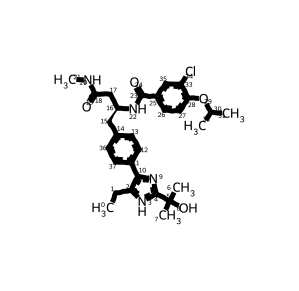 CCc1[nH]c(C(C)(C)O)nc1-c1ccc(C[C@@H](CC(=O)NC)NC(=O)c2ccc(OC(C)C)c(Cl)c2)cc1